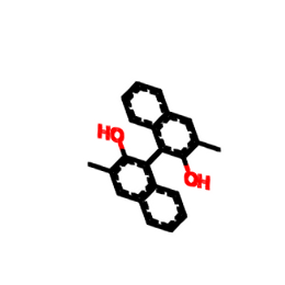 Cc1cc2ccccc2c(-c2c(O)c(C)cc3ccccc23)c1O